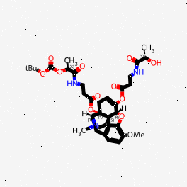 COc1ccc2c3c1O[C@H]1C(OC(=O)CCNC(=O)[C@H](C)O)=CC[C@@]4(OC(=O)CCNC(=O)[C@H](C)OC(=O)OC(C)(C)C)[C@@H](C2)N(C)CC[C@]314